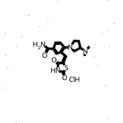 CN(C)C1CCN(c2ccc(C(N)=O)cc2/C=C2/SC(=O)NC2=O)C1.Cl